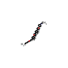 C/C=C/C1CCC(C2CC=C(C3=CC=C(c4ccc(-c5ccc(CCCCCCCCC)c(F)c5F)cc4)C(F)C3F)CC2)CC1